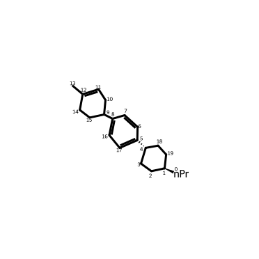 CCC[C@H]1CC[C@H](c2ccc(C3CC=C(C)CC3)cc2)CC1